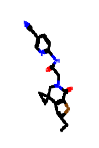 CCc1cc2c(s1)C(=O)N(CC(=O)Nc1ccc(C#N)cn1)CC21CC1